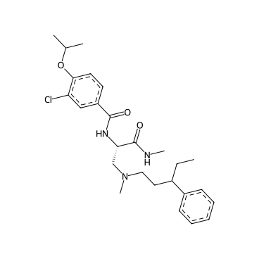 CCC(CCN(C)C[C@H](NC(=O)c1ccc(OC(C)C)c(Cl)c1)C(=O)NC)c1ccccc1